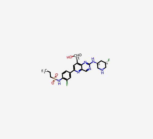 CCc1cc(-c2ccc(NS(=O)(=O)CCC(F)(F)F)c(F)c2)nc2cnc(N[C@@H]3CNC[C@@H](F)C3)nc12.O=CO